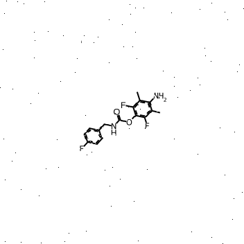 Cc1c(N)c(C)c(F)c(OC(=O)NCc2ccc(F)cc2)c1F